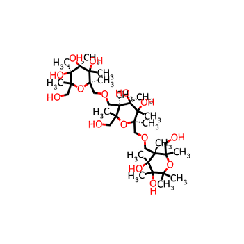 CC1(C)OC(C)(CO)[C@@](C)(COC[C@@]2(C)OC(C)(CO)[C@@](C)(COC[C@@]3(C)OC(C)(CO)[C@@](C)(O)[C@@](C)(O)C3(C)O)[C@@](C)(O)C2(C)O)[C@@](C)(O)C1(C)O